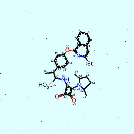 CCc1cc2ccccc2c(Oc2ccc(C(C)C(Nc3c(N4C(C)CCC4C)c(=O)c3=O)C(=O)O)cc2)n1